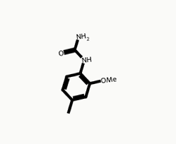 COc1cc(C)ccc1NC(N)=O